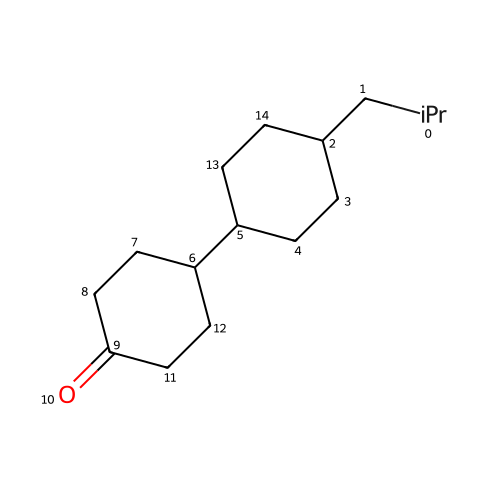 CC(C)CC1CCC(C2CCC(=O)CC2)CC1